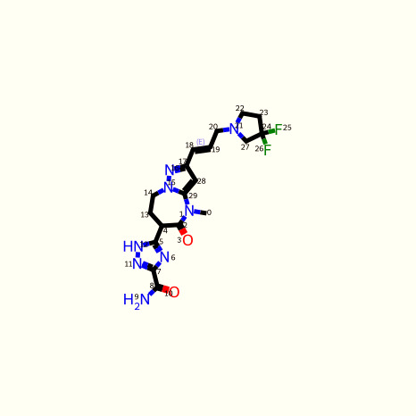 CN1C(=O)C(c2nc(C(N)=O)n[nH]2)CCn2nc(/C=C/CN3CCC(F)(F)C3)cc21